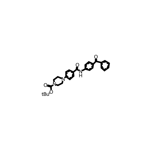 CC(C)(C)OC(=O)N1CCN(c2ccc(C(=O)Nc3ccc(C(=O)c4ccccc4)cc3)cc2)CC1